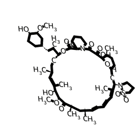 CO[C@@H]1C[C@H](C[C@@H](C)[C@@H]2CC[C@H](C)/C=C(\C)[C@@H](O)[C@@H](OC)C(=O)[C@H](C)C[C@H](C)/C=C/C=C/C=C(\C)[C@@H](N3CCCS3(=O)=O)C[C@@H]3CC[C@@H](C)[C@@](O)(O3)C(=O)C(=O)N3CCCC[C@H]3C(=O)O2)CC[C@H]1O